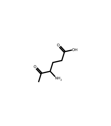 CC(=O)C(N)CCC(=O)O